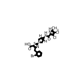 Cc1[nH]c(C(=O)N[C@H]2[C@@H]3CN(c4nc(Cc5ccccc5Br)c(C(=O)O)s4)C[C@@H]32)c(Cl)c1Cl